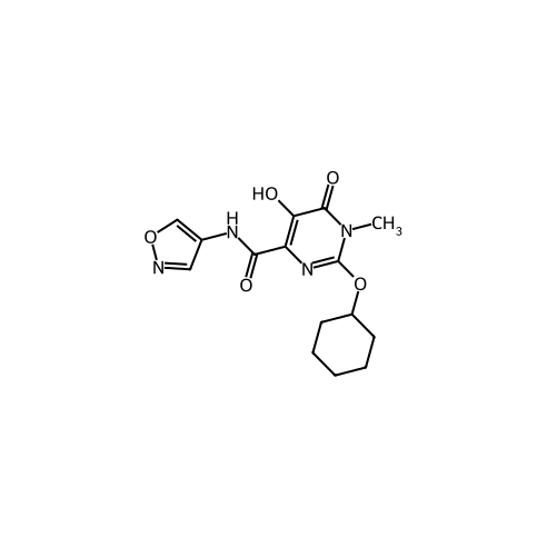 Cn1c(OC2CCCCC2)nc(C(=O)Nc2cnoc2)c(O)c1=O